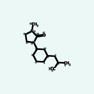 CC(C)CC1CCCC(N2CCN(C)C2=O)C1